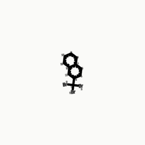 BrC(Br)(Br)c1c[c]c2ccccc2c1